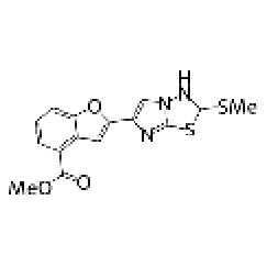 COC(=O)c1cccc2oc(-c3cn4c(n3)SC(SC)N4)cc12